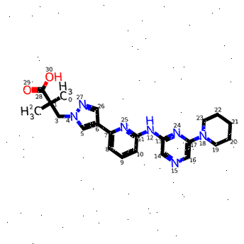 CC(C)(Cn1cc(-c2cccc(Nc3cncc(N4CCCCC4)n3)n2)cn1)C(=O)O